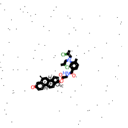 CC(=O)[C@@]1(OC(=O)CNC(=O)c2ccc(C)c(N(CC(C)Cl)CC(C)Cl)c2)CC[C@H]2[C@@H]3C[C@H](C)C4=CC(=O)CC[C@]4(C)[C@H]3CC[C@@]21C